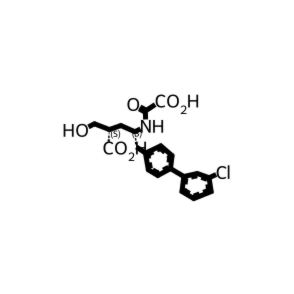 O=C(O)C(=O)N[C@H](Cc1ccc(-c2cccc(Cl)c2)cc1)C[C@@H](CO)C(=O)O